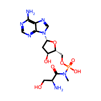 CN(C(=O)[C@@H](N)CO)P(=O)(O)OC[C@H]1O[C@@H](n2cnc3c(N)ncnc32)C[C@@H]1O